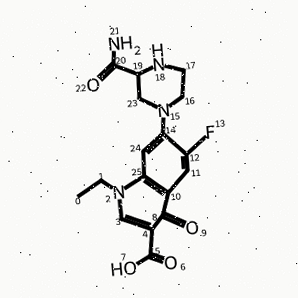 CCn1cc(C(=O)O)c(=O)c2cc(F)c(N3CCNC(C(N)=O)C3)cc21